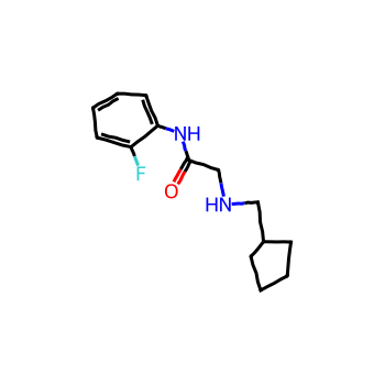 O=C(CNCC1CCCC1)Nc1ccccc1F